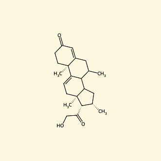 CC1CC2=CC(=O)CC[C@]2(C)C2=CC[C@@]3(C)C(C[C@H](C)[C@@H]3C(=O)CO)C21